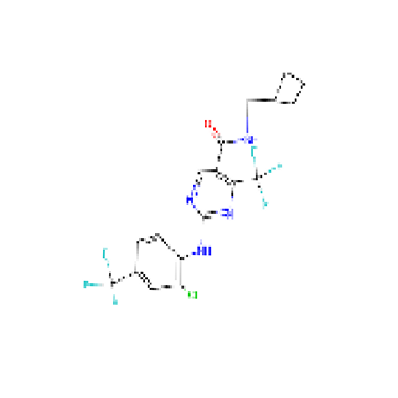 O=C(NCC1CCC1)c1cnc(Nc2ccc(C(F)(F)F)cc2Cl)nc1C(F)(F)F